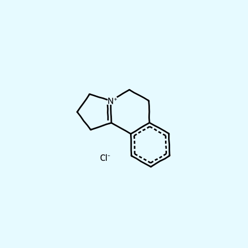 [Cl-].c1ccc2c(c1)CC[N+]1=C2CCC1